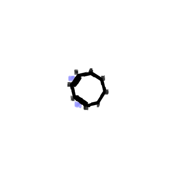 [C]1=C\C=C/CCCC/1